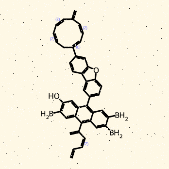 Bc1cc2c(C(=C)/C=C\C=C)c3cc(B)c(O)cc3c(-c3ccc4oc5cc(/C6=C/C=C\C(=C)/C=C\C=C/C6)ccc5c4c3)c2cc1B